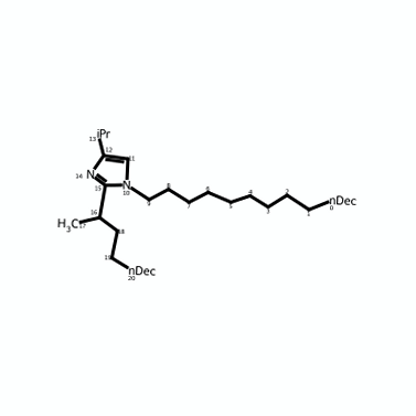 CCCCCCCCCCCCCCCCCCCn1cc(C(C)C)nc1C(C)CCCCCCCCCCCC